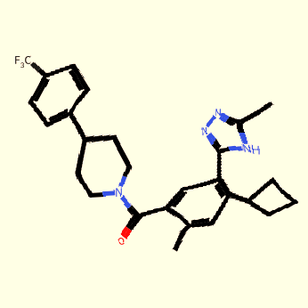 Cc1nnc(-c2cc(C(=O)N3CCC(c4ccc(C(F)(F)F)cc4)CC3)c(C)cc2C2CCC2)[nH]1